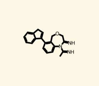 CC(=N)N1C(=N)COCc2c(C3=CCc4ccccc43)cccc21